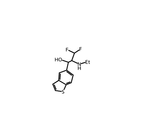 CCNC(C(F)F)C(O)c1ccc2sccc2c1